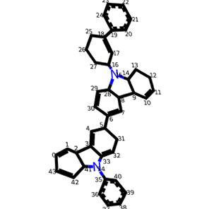 C1=CC2C3=CC(C4=CC5C6C=CCCC6N(C6C=C(c7ccccc7)CCC6)C5C=C4)CC=C3N(c3ccccc3)C2C=C1